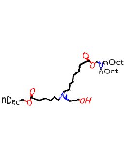 CCCCCCCCCCCOC(=O)CCCCCN(CCO)CCCCCCCC(=O)OCN(CCCCCCCC)CCCCCCCC